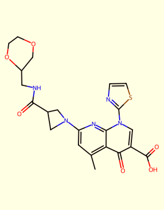 Cc1cc(N2CC(C(=O)NCC3COCCO3)C2)nc2c1c(=O)c(C(=O)O)cn2-c1nccs1